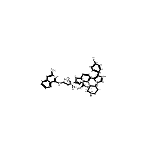 CCCCc1cc2ccccc2c(OCC[N+](C)(C)C2=C[N+]3(C(N)=O)N=C(c4c(-c5ccc(F)cc5)ncn4C4CCNCC4)C=CC3=N2)n1